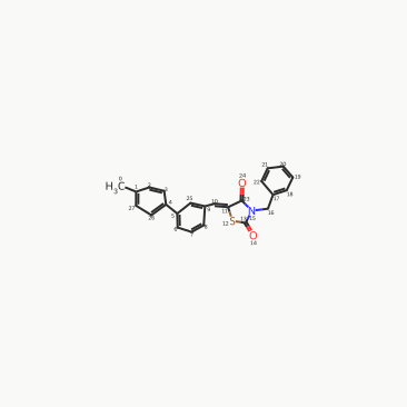 Cc1ccc(-c2cccc(/C=C3\SC(=O)N(Cc4ccccc4)C3=O)c2)cc1